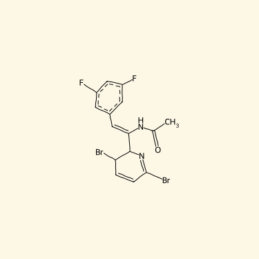 CC(=O)N/C(=C\c1cc(F)cc(F)c1)C1N=C(Br)C=CC1Br